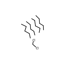 CCCCC.CCCCC.CCCCC.CCCCC.ClCCl